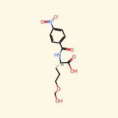 O=C(N[C@@H](CCCOCO)C(=O)O)c1ccc([N+](=O)[O-])cc1